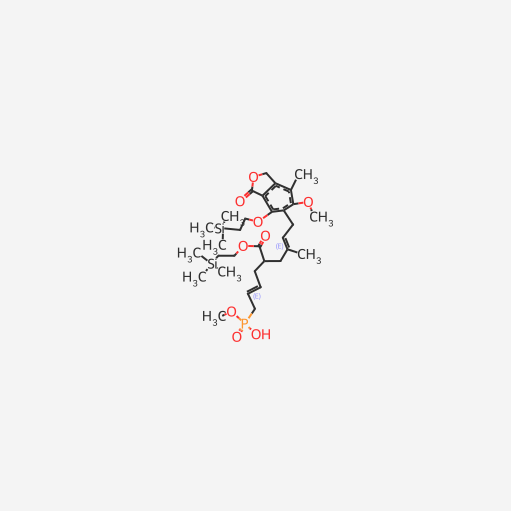 COc1c(C)c2c(c(OCC[Si](C)(C)C)c1C/C=C(\C)CC(C/C=C/CP(=O)(O)OC)C(=O)OCC[Si](C)(C)C)C(=O)OC2